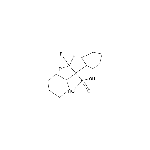 O=P(O)(O)C(C1CCCCC1)(C1CCCCC1)C(F)(F)F